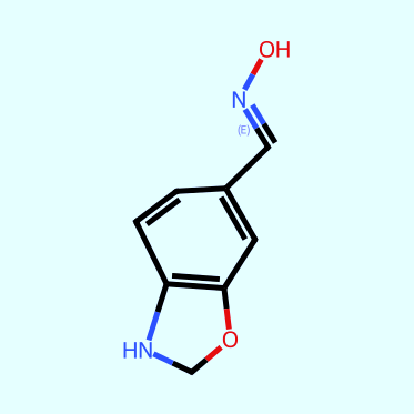 O/N=C/c1ccc2c(c1)OCN2